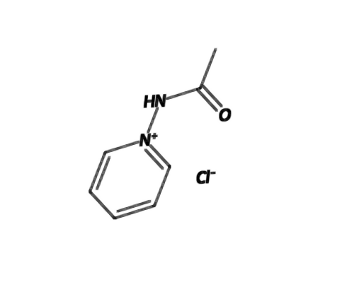 CC(=O)N[n+]1ccccc1.[Cl-]